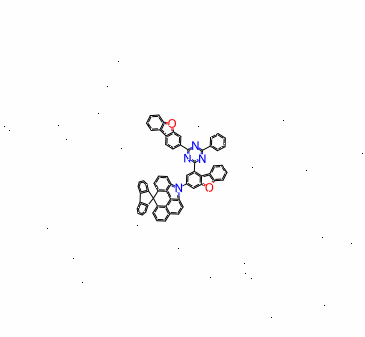 c1ccc(-c2nc(-c3ccc4c(c3)oc3ccccc34)nc(-c3cc(-n4c5cccc6c5c5c7c(cccc7ccc54)C64c5ccccc5-c5ccccc54)cc4oc5ccccc5c34)n2)cc1